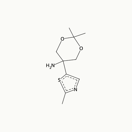 Cc1ncc(C2(N)COC(C)(C)OC2)s1